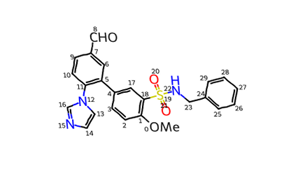 COc1ccc(-c2cc(C=O)ccc2-n2ccnc2)cc1S(=O)(=O)NCc1ccccc1